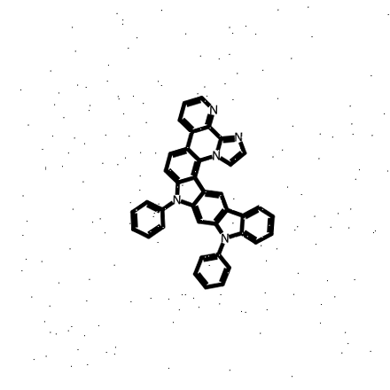 c1ccc(-n2c3ccccc3c3cc4c5c(ccc6c7cccnc7c7nccn7c65)n(-c5ccccc5)c4cc32)cc1